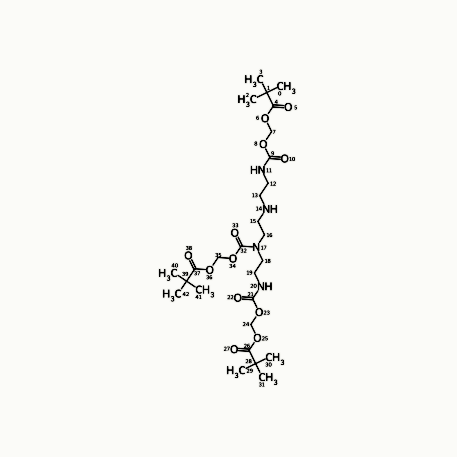 CC(C)(C)C(=O)OCOC(=O)NCCNCCN(CCNC(=O)OCOC(=O)C(C)(C)C)C(=O)OCOC(=O)C(C)(C)C